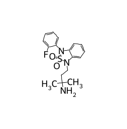 CC(C)(N)CCN1c2ccccc2N(c2ccccc2F)S1(=O)=O